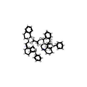 O=C(OC1c2ccccc2CCN1C/C=C1/CCCc2c1cnn2-c1ccccc1)C(=O)OC1c2ccccc2CCN1C/C=C1/CCCc2c1cnn2-c1ccccc1